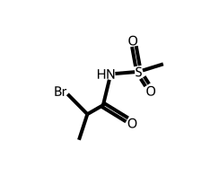 CC(Br)C(=O)NS(C)(=O)=O